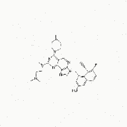 C#Cc1c(F)ccc2cc(O)cc(Cn3cnc4c5nc(N(C)CCN(C)C)nc(N6CCNCC6)c5cnc43)c12